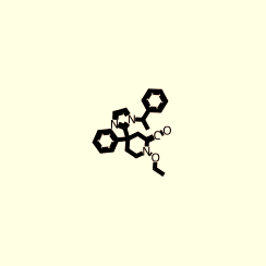 CCON1CCC(c2ccccc2)(c2nccn2C(C)c2ccccc2)CC1=C=O